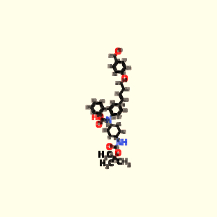 CC(C)(C)OC(=O)NC1CCC(N(C(=O)O)c2ccc(/C=C/CCOc3ccc(C=O)cc3)cc2-c2ccccc2)CC1